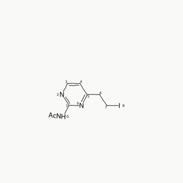 CC(=O)Nc1nccc(CCI)n1